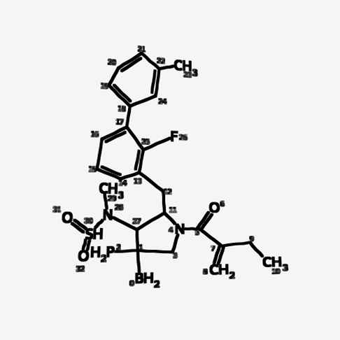 BC1(P)CN(C(=O)C(=C)CC)C(Cc2cccc(-c3cccc(C)c3)c2F)C1N(C)[SH](=O)=O